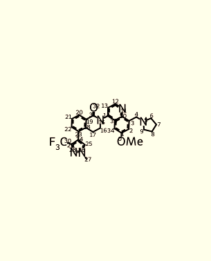 COc1cc(CN2CCCC2)c2nccc(N3CCc4c(cccc4-c4cn(C)nc4C(F)(F)F)C3=O)c2c1